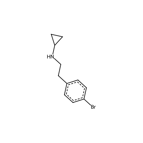 Brc1ccc(CCNC2CC2)cc1